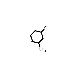 CC1[CH]CCC(Cl)C1